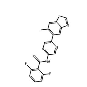 Cc1cc2scnc2cc1-c1cnc(NC(=O)c2c(F)cccc2F)cn1